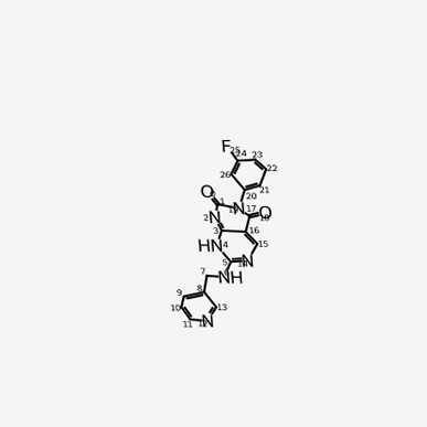 O=c1nc2[nH]c(NCc3cccnc3)ncc-2c(=O)n1-c1cccc(F)c1